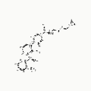 O=C(NCCCCC1CC1)c1ccc(N2C=CCN(C(=O)c3ccccc3C(F)(F)F)C2=O)nc1